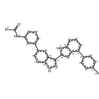 CCC(=O)Nc1cncc(-c2cnc3[nH]nc(-c4cc5c(-c6ccc(F)cc6)cccc5[nH]4)c3c2)c1